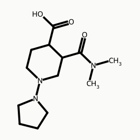 CN(C)C(=O)C1CN(N2CCCC2)CCC1C(=O)O